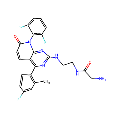 Cc1cc(F)ccc1-c1nc(NCCNC(=O)CN)nc2c1ccc(=O)n2-c1c(F)cccc1F